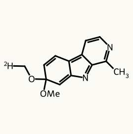 [2H]COC1(OC)C=CC2=c3ccnc(C)c3=NC2=C1